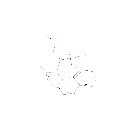 CCOCC(n1c(C)nc2cnc3ccccc3c21)C(C)(C)O